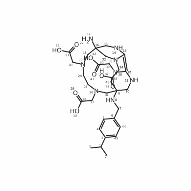 CC(C)c1ccc(CNC23CN/C(=C4\NCC(N)(CN(CC(=O)O)CCN(CC(=O)O)C2)CN4CC(=O)O)N(CC(=O)O)C3)cc1